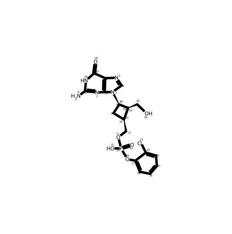 Nc1nc2c(ncn2[C@@H]2C[C@H](COP(=O)(O)Oc3ccccc3Cl)[C@@H]2CO)c(=O)[nH]1